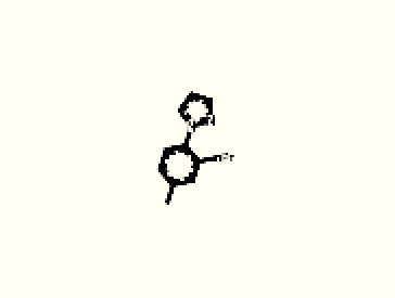 CCCc1cc(C)ccc1-n1cccn1